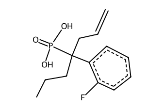 C=CCC(CCC)(c1ccccc1F)P(=O)(O)O